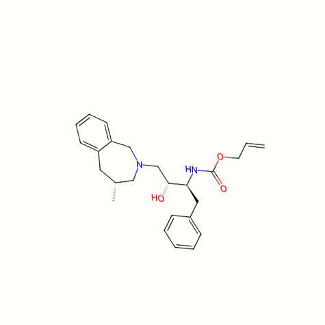 C=CCOC(=O)N[C@@H](Cc1ccccc1)[C@H](O)CN1Cc2ccccc2C[C@@H](C)C1